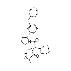 CNC(C)C(=O)NC(C(=O)N1CCC[C@@H]1c1cccc(Cc2ccccc2)c1)C1CCCCC1